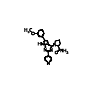 COc1cccc(-c2cc3c(N4CCCC4C(N)=O)nc(-c4ccncc4)nc3[nH]2)c1